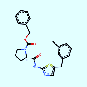 Cc1cccc(Cc2cnc(NC(=O)[C@@H]3CCCN3C(=O)OCc3ccccc3)s2)c1